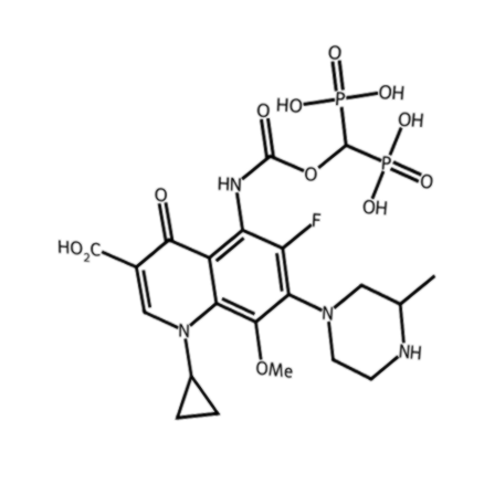 COc1c(N2CCNC(C)C2)c(F)c(NC(=O)OC(P(=O)(O)O)P(=O)(O)O)c2c(=O)c(C(=O)O)cn(C3CC3)c12